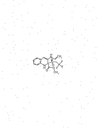 C=CNC1=Cc2ccccc2NC1(C(=O)OC)S(=O)(=O)CC(F)(F)F